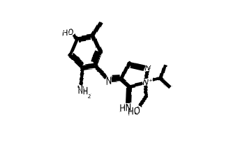 Cc1cc(N=C2C=N[N+](CO)(C(C)C)C2=N)c(N)cc1O